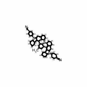 Cc1cc2c3c(c1)-c1c4c(cccc4cc4c1c1ccccc1n4-c1ccc(C#N)cc1)B3c1cccc3cc4c(c-2c13)c1ccccc1n4-c1ccc(C#N)cc1